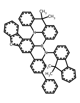 CC1(C)c2ccccc2N2c3c(cccc31)B1c3c(cc4oc5ccccc5c4c32)-c2ccc(-c3ccccc3)cc2N1c1cccc2c1C(C)(C)c1ccccc1-2